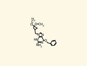 COC1(OC)CC(Cn2cnc3c2NC(N)=NC3OCc2ccccc2)C1